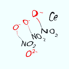 O=[N+]([O-])[O-].O=[N+]([O-])[O-].O=[N+]([O-])[O-].[Ce].[O-2]